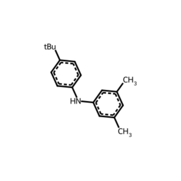 Cc1cc(C)cc(Nc2ccc(C(C)(C)C)cc2)c1